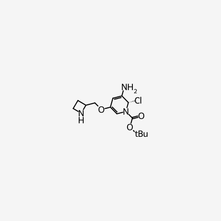 CC(C)(C)OC(=O)N1C=C(OCC2CCN2)C=C(N)[C@@H]1Cl